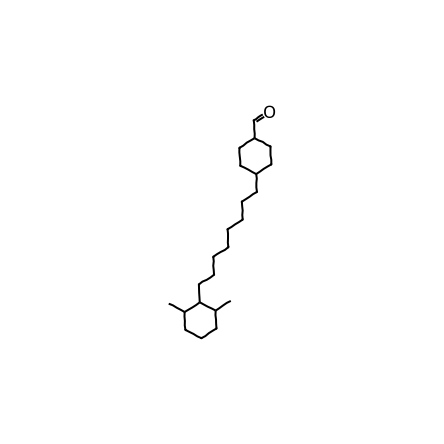 CC1CCCC(C)C1CCCCCCCCC1CCC(C=O)CC1